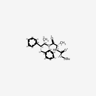 C[C@H](NC(=O)OC(C)(C)C)C(=O)O[C@@H](C)[C@H](Cc1ccccc1)c1ccccc1